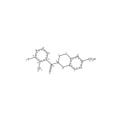 O=C(O)c1ccc2c(n1)CCN(C(=O)c1cccc(F)c1C(F)(F)F)C2